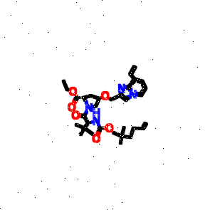 C=CCCC(C)(C)COC(=O)N[C@H](C(=O)N1C[C@H](OCc2cn3cccc(C=C)c3n2)C[C@H]1C(=O)OCC)C(C)(C)C